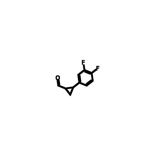 O=CC1CC1c1ccc(F)c(F)c1